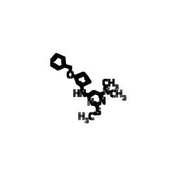 CSc1nc(Nc2cccc(OCc3ccccc3)c2)cc(N(C)C)n1